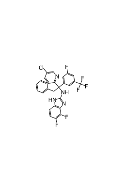 Fc1cc(C(F)(F)F)cc(C(Cc2ccccc2)(Nc2nc3c(F)c(F)ccc3[nH]2)c2ccc(Cl)cn2)c1